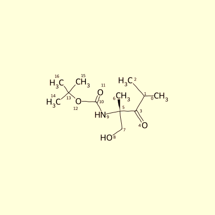 CC(C)C(=O)[C@](C)(CO)NC(=O)OC(C)(C)C